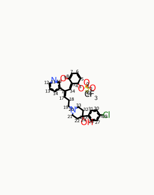 O=S(=O)(OC1C=CC=C2Oc3ncccc3C(=CCCN3CCC(O)(c4ccc(Cl)cc4)CC3)C=C21)C(F)(F)F